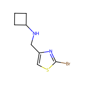 Brc1nc(CNC2CCC2)cs1